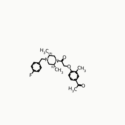 CC(=O)c1ccc(OCC(=O)N2C[C@@H](C)N(Cc3ccc(F)cc3)C[C@@H]2C)c(C)c1